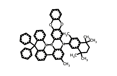 Cc1cc2c3c(c1)N(c1cc4c(cc1C)C(C)(C)CCC4(C)C)c1cc4c(cc1B3N1c3ccccc3C(c3ccccc3)(c3ccccc3)c3cccc-2c31)Oc1ccccc1O4